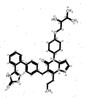 CCCc1c(Cc2ccc(-c3ccccc3-c3noc(=O)[nH]3)cc2)c(=O)n(C2CCC(OCC(O)C(C)C)CC2)c2ccnn12